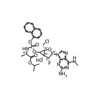 CNc1nc(N)nc2c1ncn2[C@@H]1O[C@]2(CCl)C(OP(=O)(N[C@H](C)C(=O)OC(C)C)Oc3cccc4ccccc34)[C@]2(O)[C@H]1F